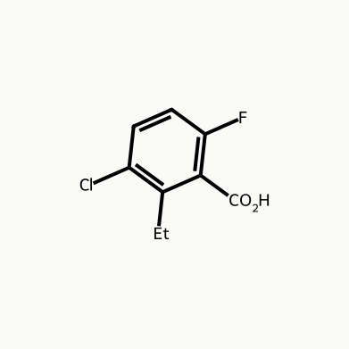 CCc1c(Cl)ccc(F)c1C(=O)O